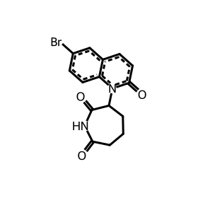 O=C1CCCC(n2c(=O)ccc3cc(Br)ccc32)C(=O)N1